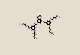 CCCCOc1cc(COc2cc(CC)cc(OCc3cc(OCCCC)cc(OCCCC)c3)c2)cc(OCCCC)c1